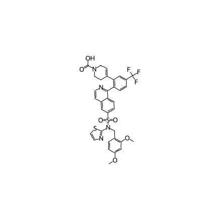 COc1ccc(CN(c2nccs2)S(=O)(=O)c2ccc3c(-c4ccc(C(F)(F)F)cc4C4=CCN(C(=O)O)CC4)nccc3c2)c(OC)c1